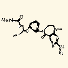 CCNc1ncc2c(n1)N(C)CCN(c1cccc(OC(COC(=O)NC)C(C)C)c1)C2=O